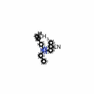 C[C@]12CC3(c4ccc(-c5nc(-c6cccc(-c7ccccc7)c6)nc(-c6cccc7c(C#N)c8ccccc8cc67)n5)cc4)CC1CC[C@@H]2C3